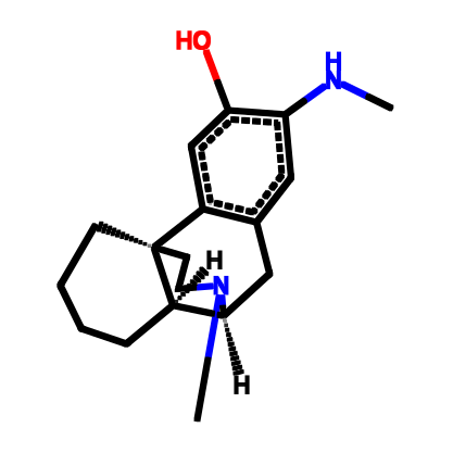 CNc1cc2c(cc1O)[C@]13CCCC[C@@H]1[C@H](C2)N(C)CC3